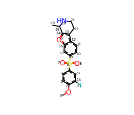 COc1ccc(S(=O)(=O)c2ccc3c4c(oc3c2)C(C)NCC4)cc1F